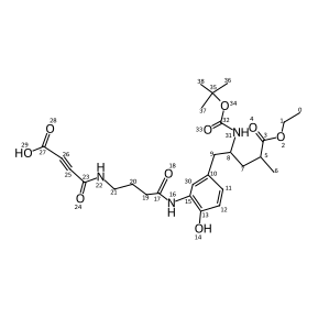 CCOC(=O)C(C)CC(Cc1ccc(O)c(NC(=O)CCCNC(=O)C#CC(=O)O)c1)NC(=O)OC(C)(C)C